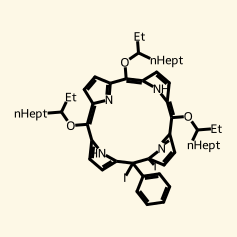 CCCCCCCC(CC)OC1=C2C=CC(=N2)C(OC(CC)CCCCCCC)=c2ccc([nH]2)=C(OC(CC)CCCCCCC)C2=NC(I)(C=C2)C(I)(c2ccccc2)c2ccc1[nH]2